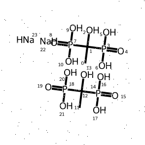 CC(O)(P(=O)(O)O)P(=O)(O)O.CC(O)(P(=O)(O)O)P(=O)(O)O.[NaH].[NaH]